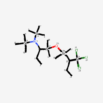 CCC(N([Si](C)(C)C)[Si](C)(C)C)[Si](C)(C)O[Si](C)(C)C(CC)[Si](Cl)(Cl)Cl